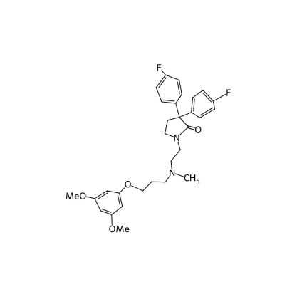 COc1cc(OC)cc(OCCCN(C)CCN2CCC(c3ccc(F)cc3)(c3ccc(F)cc3)C2=O)c1